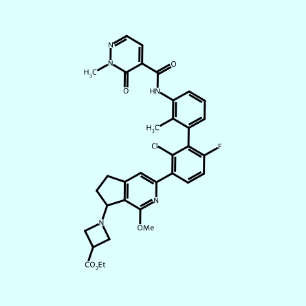 CCOC(=O)C1CN(C2CCc3cc(-c4ccc(F)c(-c5cccc(NC(=O)c6ccnn(C)c6=O)c5C)c4Cl)nc(OC)c32)C1